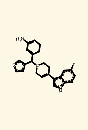 NC1=CCCC(C(c2ccsc2)N2CC=C(c3c[nH]c4ccc(F)cc34)CC2)=C1